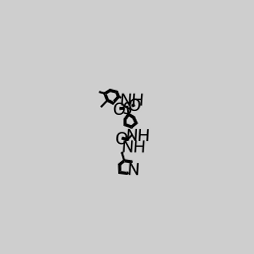 Cc1ccc(NS(=O)(=O)c2ccc(NC(=O)NCc3cccnc3)cc2)cc1C